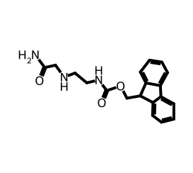 NC(=O)CNCCNC(=O)OCC1c2ccccc2-c2ccccc21